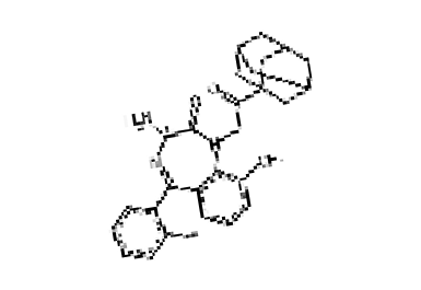 Cc1cccc2c1N(CC(=O)C13CC4CC(CC(C4)C1)C3)C(=O)[C@@H](N)N=C2c1ccccc1F